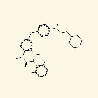 CN1C(=O)C(c2c(F)cccc2F)N(C)c2nc(Nc3ccc([S+]([O-])NCC4CCOCC4)cc3)ncc21